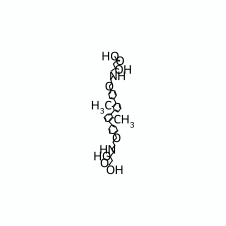 Cc1c(-c2ccc(OCCNCC(O)CC(=O)O)cc2)cccc1-c1cccc(-c2ccc(OCCNCC(O)CC(=O)O)cc2)c1C